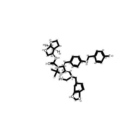 CC(C)CN(Cc1ccc2c(c1)OCO2)C[C@H]1OC(C)(C)N(C(=O)O[C@H]2CO[C@H]3OCC[C@H]32)[C@H]1Cc1ccc(OCc2ccc(F)cc2)cc1